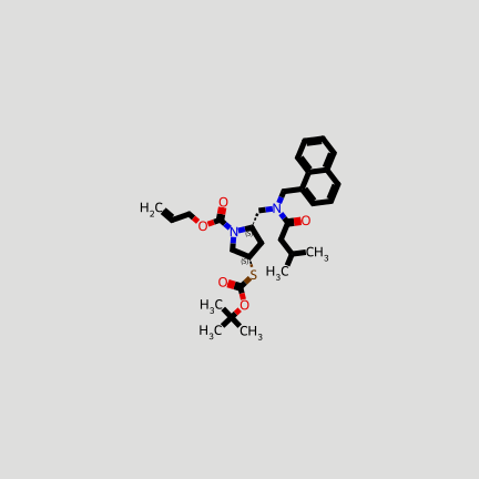 C=CCOC(=O)N1C[C@@H](SC(=O)OC(C)(C)C)C[C@H]1CN(Cc1cccc2ccccc12)C(=O)CC(C)C